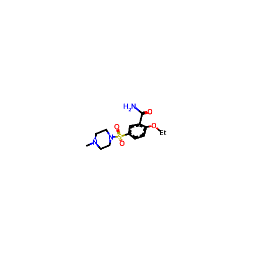 CCOc1ccc(S(=O)(=O)N2CCN(C)CC2)cc1C(N)=O